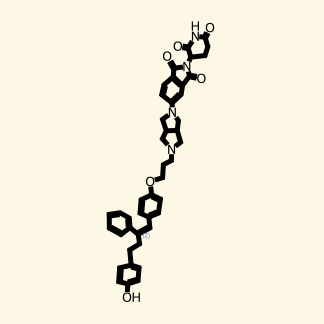 O=C1CCC(N2C(=O)c3ccc(N4CC5CN(CCCOc6ccc(/C=C(/CCc7ccc(O)cc7)c7ccccc7)cc6)CC5C4)cc3C2=O)C(=O)N1